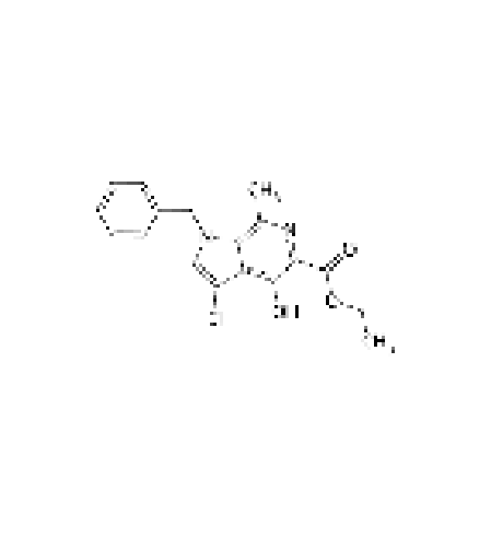 CCOC(=O)c1nc(C)c2c(c(Cl)cn2Cc2ccccc2)c1O